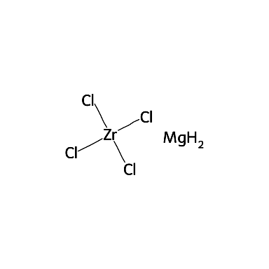 [Cl][Zr]([Cl])([Cl])[Cl].[MgH2]